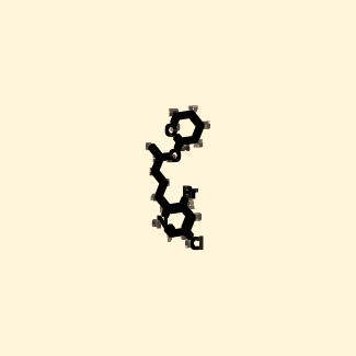 CC(CCCc1ncc(Cl)cc1Br)OC1CCCCO1